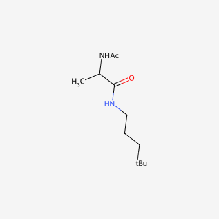 CC(=O)NC(C)C(=O)NCCCC(C)(C)C